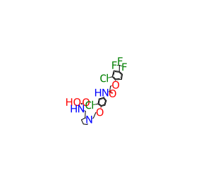 O=C(O)NCC1CCCN1CCOc1ccc(NC(=O)COc2ccc(C(F)(F)F)cc2Cl)cc1Cl